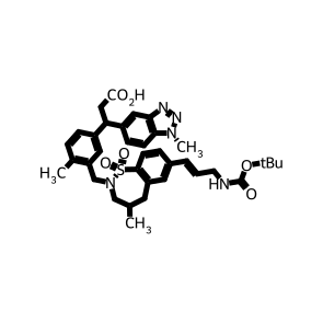 Cc1ccc(C(CC(=O)O)c2ccc3c(c2)nnn3C)cc1CN1CC(C)Cc2cc(C=CCNC(=O)OC(C)(C)C)ccc2S1(=O)=O